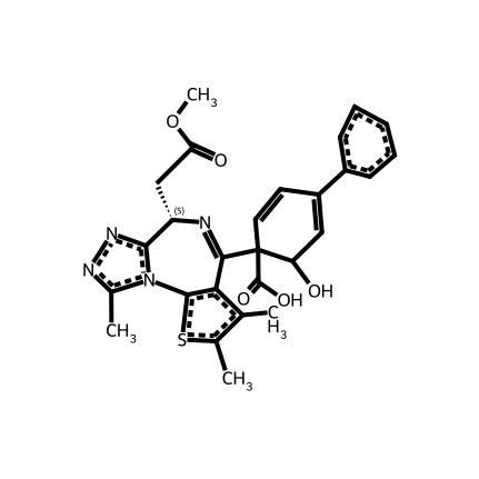 COC(=O)C[C@@H]1N=C(C2(C(=O)O)C=CC(c3ccccc3)=CC2O)c2c(sc(C)c2C)-n2c(C)nnc21